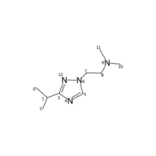 CC(C)c1ncn(CCN(C)C)n1